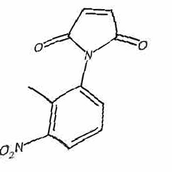 Cc1c(N2C(=O)C=CC2=O)cccc1[N+](=O)[O-]